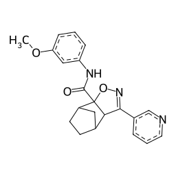 COc1cccc(NC(=O)C23ON=C(c4cccnc4)C2C2CCC3C2)c1